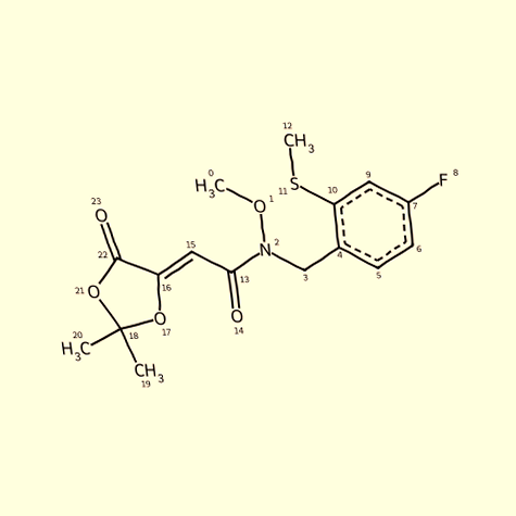 CON(Cc1ccc(F)cc1SC)C(=O)C=C1OC(C)(C)OC1=O